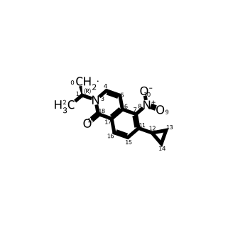 [CH2][C@H](C)n1ccc2c([N+](=O)[O-])c(C3CC3)ccc2c1=O